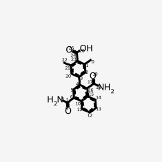 Cc1cc(-c2cc(C(N)=O)c3ccccc3c2C(N)=O)cc(C)c1C(=O)O